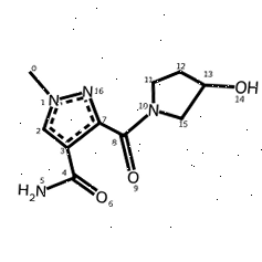 Cn1cc(C(N)=O)c(C(=O)N2CCC(O)C2)n1